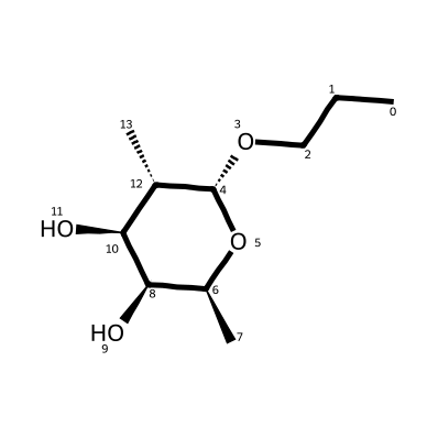 CCCO[C@@H]1O[C@@H](C)[C@@H](O)[C@@H](O)[C@@H]1C